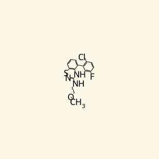 COCCNC1=NSc2cccc(-c3cc(F)ccc3Cl)c2N1